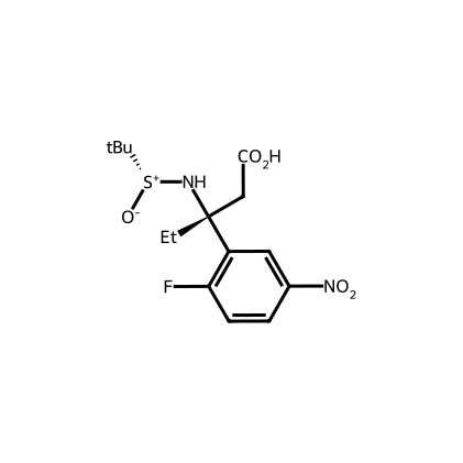 CC[C@](CC(=O)O)(N[S@+]([O-])C(C)(C)C)c1cc([N+](=O)[O-])ccc1F